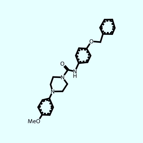 COc1ccc(N2CCN(C(=O)Nc3ccc(OCc4ccccc4)cc3)CC2)cc1